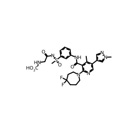 Cc1c(-c2cnn(C)c2)cnc(N2CCCC(F)(F)CC2)c1C(=O)Nc1cccc(S(C)(=O)=NC(=O)CNC(=O)O)c1